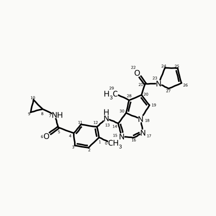 Cc1ccc(C(=O)NC2CC2)cc1Nc1ncnn2cc(C(=O)N3CC=CC3)c(C)c12